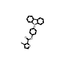 O=C(Oc1ccc([SH]2c3ccccc3-c3ccccc32)cc1)c1sccc1I